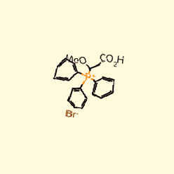 COC(CC(=O)O)[P+](c1ccccc1)(c1ccccc1)c1ccccc1.[Br-]